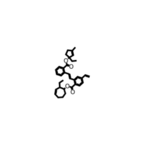 C=Cc1ccc(C(=O)OC2CCCC=CC2CC)c(/C=C/c2ccccc2C(=O)OC2(CC)C=C(C)CC2)c1